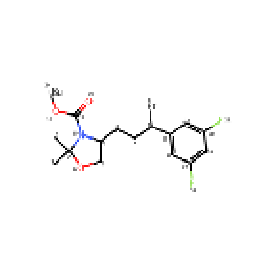 CCC(CCC1COC(C)(C)N1C(=O)OC(C)(C)C)c1cc(F)cc(F)c1